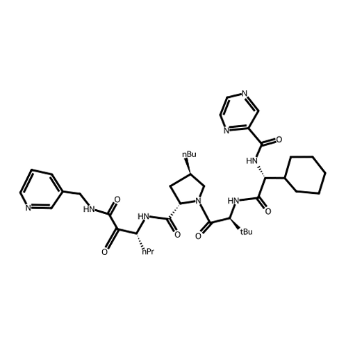 CCCC[C@@H]1C[C@@H](C(=O)N[C@H](CCC)C(=O)C(=O)NCc2cccnc2)N(C(=O)[C@@H](NC(=O)[C@H](NC(=O)c2cnccn2)C2CCCCC2)C(C)(C)C)C1